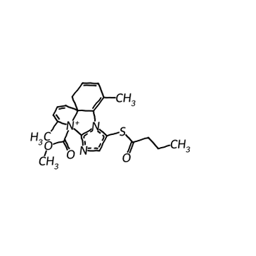 CCCC(=O)Sc1cnc2n1C1=C(C)C=CCC13C=CC=C(C)[N+]23C(=O)OC